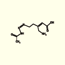 CC(=O)N/N=N\CC/C(=C/C(=O)O)CN